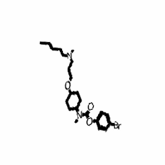 CCCCCN(C)CCCOC1CCC(N(C)C(=O)Oc2ccc(Br)cc2)CC1